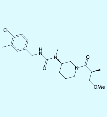 COC[C@H](C)C(=O)N1CCC[C@@H](N(C)C(=O)NCc2ccc(Cl)c(C)c2)C1